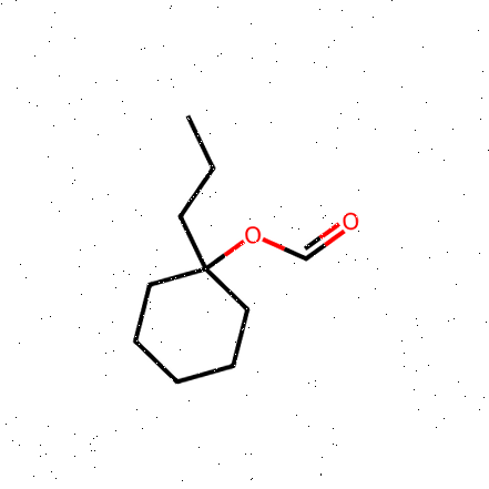 CCCC1(OC=O)CCCCC1